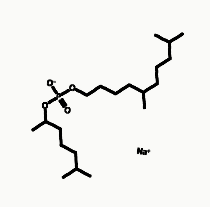 CC(C)CCCC(C)CCCCOP(=O)([O-])OC(C)CCCC(C)C.[Na+]